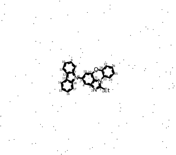 CCc1nc2cc(-n3c4ccccc4c4ccccc43)cc3c2n1-c1ccccc1O3